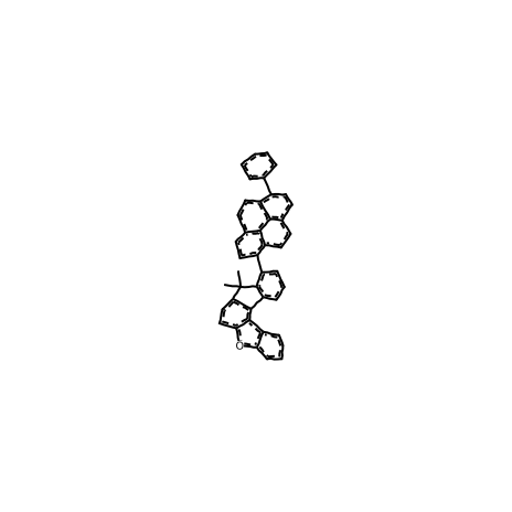 CC1(C)c2ccc3oc4ccccc4c3c2-c2cccc(-c3ccc4ccc5c(-c6ccccc6)ccc6ccc3c4c65)c21